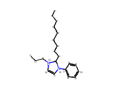 CCCCCCCCCC1N(CCC)C=CN1c1ccccc1